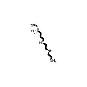 CC(C)(C)O[SiH2]CCCNCCNCCN